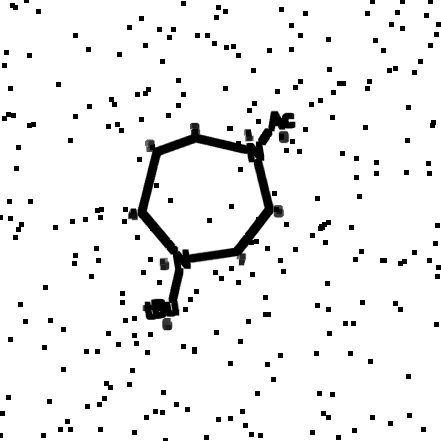 CC(=O)N1CCCN(C(C)(C)C)CC1